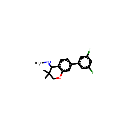 CC1(C)COc2cc(-c3cc(F)cc(F)c3)ccc2C1NC(=O)O